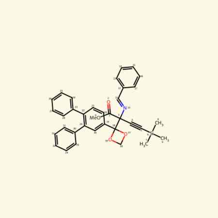 COC(=O)C(C#C[Si](C)(C)C)(N=Cc1ccccc1)C1(c2ccc(-c3ccccc3)c(-c3ccccc3)c2)OCO1